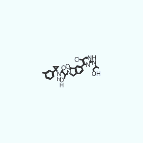 Cc1cccc(C2(NC(=O)C(CO)N3Cc4ccc(-c5nc(NC(C)CO)ncc5Cl)cc4C3=O)CC2)c1